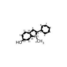 Cn1c(-c2ccccc2)cc2ccc(O)cc21